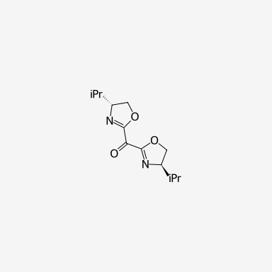 CC(C)[C@@H]1COC(C(=O)C2=N[C@H](C(C)C)CO2)=N1